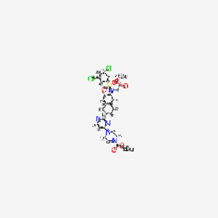 CC(C)(C)OC(=O)CN(c1ccc2cc(-c3nccc(N4CCN(C(=O)OC(C)(C)C)CC4)n3)ccc2c1)S(=O)(=O)c1cc(Cl)cc(Cl)c1